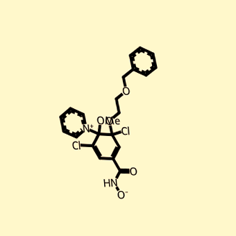 COC1([n+]2ccccc2)C(Cl)=CC(C(=O)N[O-])=CC1(Cl)OCCOCc1ccccc1